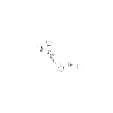 O=C(O)COc1cccc2c1CCC(/C=C/Cn1cc(C(c3ccccc3)n3ccnc3)cn1)C2